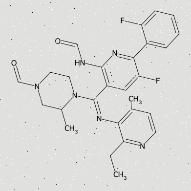 CCc1nccc(C)c1/N=C(\c1cc(F)c(-c2ccccc2F)nc1NC=O)N1CCN(C=O)CC1C